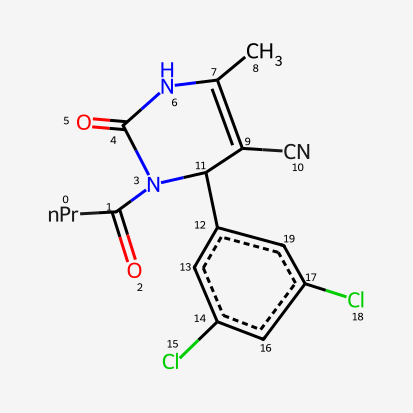 CCCC(=O)N1C(=O)NC(C)=C(C#N)C1c1cc(Cl)cc(Cl)c1